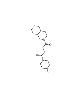 CN1CCN(C(=O)CCC(=O)N2CCC3CCCCC3C2)CC1